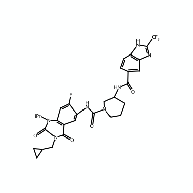 CC(C)n1c(=O)n(CC2CC2)c(=O)c2cc(NC(=O)N3CCCC(NC(=O)c4ccc5[nH]c(C(F)(F)F)nc5c4)C3)c(F)cc21